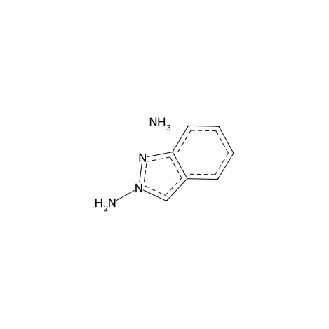 N.Nn1cc2ccccc2n1